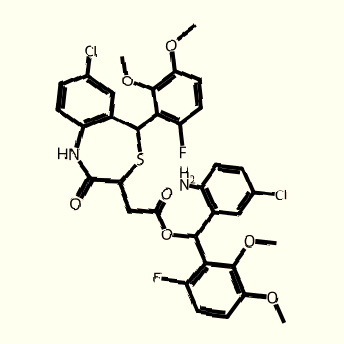 COc1ccc(F)c(C(OC(=O)CC2SC(c3c(F)ccc(OC)c3OC)c3cc(Cl)ccc3NC2=O)c2cc(Cl)ccc2N)c1OC